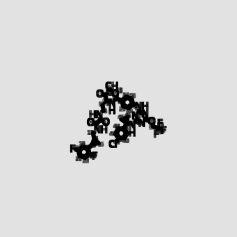 COC(=O)[C@H](CCNC(=O)C(=O)NCC1CC1c1cc(F)ccc1F)NC(=O)c1ccc(Nc2nc(NC3(c4ccc(Cl)cc4)CC3)nc(OCC(F)(F)F)n2)cc1